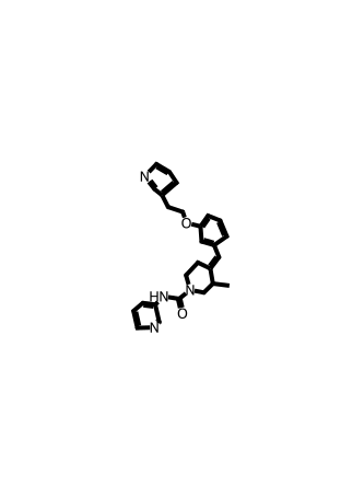 CC1CN(C(=O)Nc2cccnc2)CCC1=Cc1cccc(OCCc2cccnc2)c1